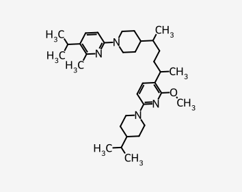 COc1nc(N2CCC(C(C)C)CC2)ccc1C(C)CCC(C)C1CCN(c2ccc(C(C)C)c(C)n2)CC1